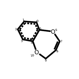 [c]1cccc2c1OC=CCO2